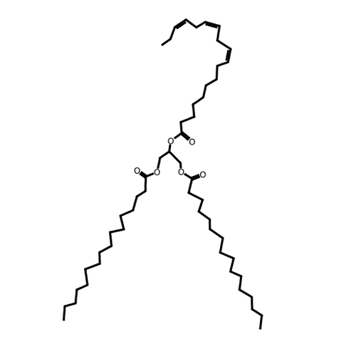 CC/C=C\C/C=C\C/C=C\CCCCCCCC(=O)OC(COC(=O)CCCCCCCCCCCCCCC)COC(=O)CCCCCCCCCCCCCCC